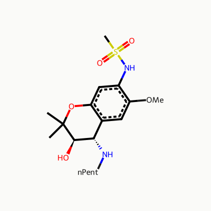 CCCCCN[C@H]1c2cc(OC)c(NS(C)(=O)=O)cc2OC(C)(C)[C@@H]1O